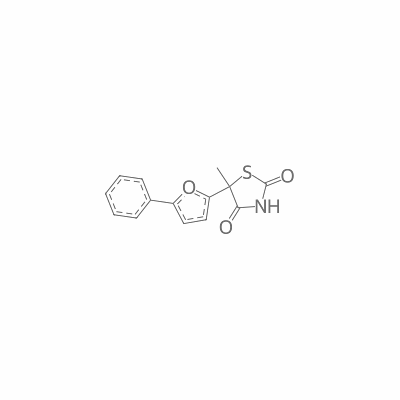 CC1(c2ccc(-c3ccccc3)o2)SC(=O)NC1=O